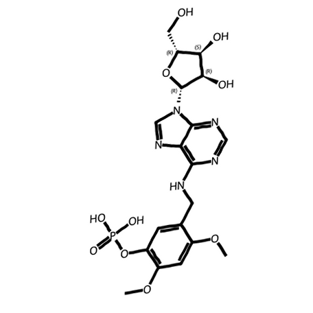 COc1cc(OC)c(OP(=O)(O)O)cc1CNc1ncnc2c1ncn2[C@@H]1O[C@H](CO)[C@@H](O)[C@H]1O